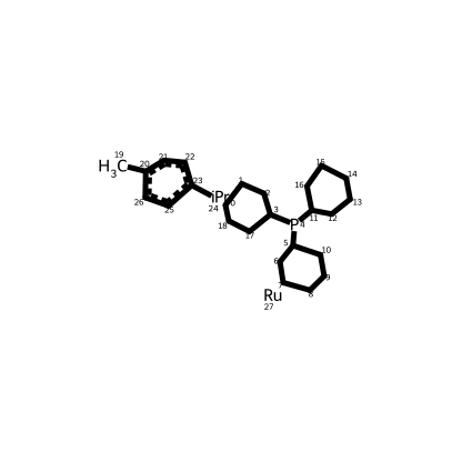 C1CCC(P(C2CCCCC2)C2CCCCC2)CC1.Cc1ccc(C(C)C)cc1.[Ru]